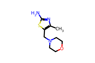 Cc1nc(N)sc1CN1CCOCC1